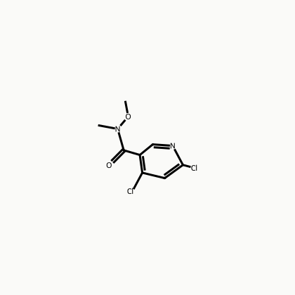 CON(C)C(=O)c1cnc(Cl)cc1Cl